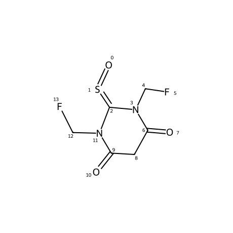 O=S=C1N(CF)C(=O)CC(=O)N1CF